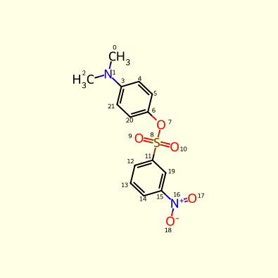 CN(C)c1ccc(OS(=O)(=O)c2cccc([N+](=O)[O-])c2)cc1